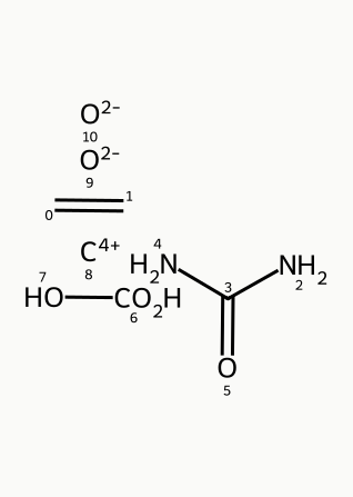 C=C.NC(N)=O.O=C(O)O.[C+4].[O-2].[O-2]